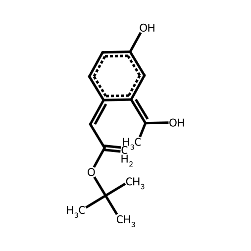 C=C(/C=c1/ccc(O)c/c1=C(/C)O)OC(C)(C)C